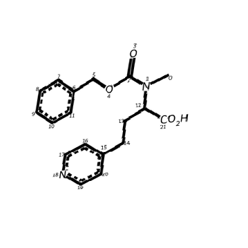 CN(C(=O)OCc1ccccc1)C(CCc1ccncc1)C(=O)O